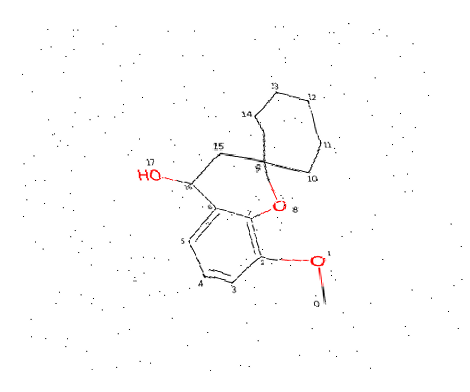 COc1cccc2c1OC1(CCCCC1)CC2O